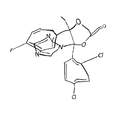 CC1(c2ccc(F)cc2)OC(=O)OC1(c1ccc(Cl)cc1Cl)n1cncn1